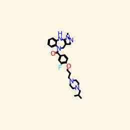 CC(C)CN1CCN(CCCOc2ccc(C(=O)N3Cc4cnn(C)c4Nc4ccccc43)cc2F)CC1